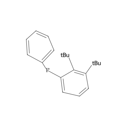 CC(C)(C)c1cccc([I+]c2ccccc2)c1C(C)(C)C